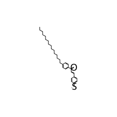 CCCCCCCCCCCCCCCCc1ccc(C(=O)/C=C/c2ccc(SC)cc2)cc1